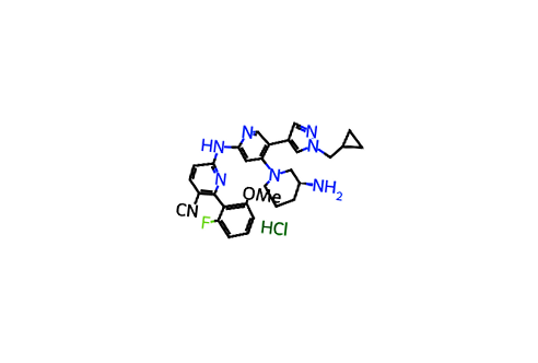 COc1cccc(F)c1-c1nc(Nc2cc(N3CCC[C@H](N)C3)c(-c3cnn(CC4CC4)c3)cn2)ccc1C#N.Cl